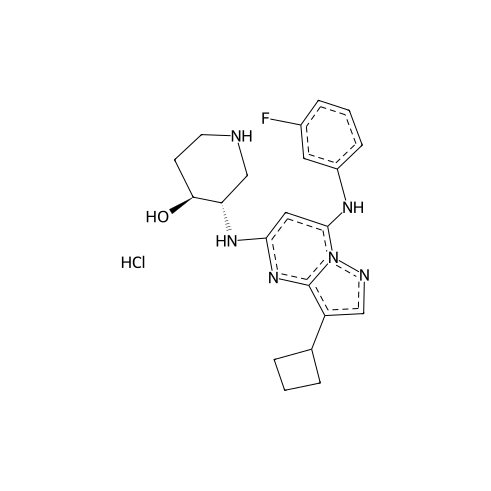 Cl.O[C@H]1CCNC[C@@H]1Nc1cc(Nc2cccc(F)c2)n2ncc(C3CCC3)c2n1